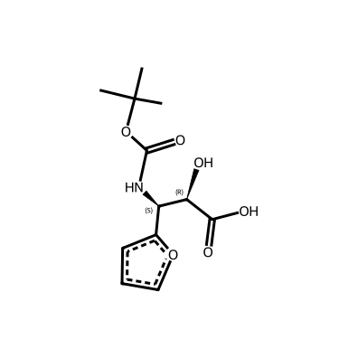 CC(C)(C)OC(=O)N[C@H](c1ccco1)[C@@H](O)C(=O)O